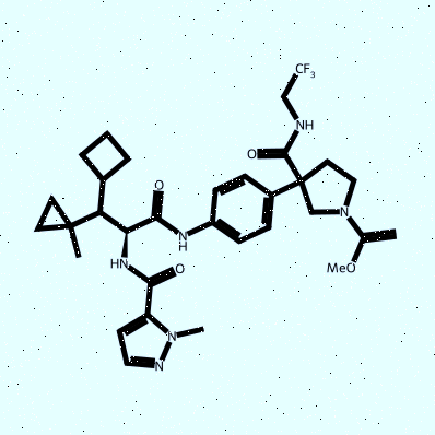 C=C(OC)N1CCC(C(=O)NCC(F)(F)F)(c2ccc(NC(=O)[C@@H](NC(=O)c3ccnn3C)C(C3CCC3)C3(C)CC3)cc2)C1